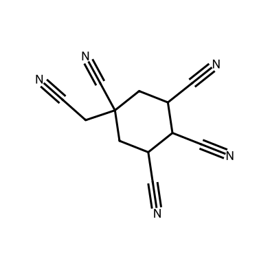 N#CCC1(C#N)CC(C#N)C(C#N)C(C#N)C1